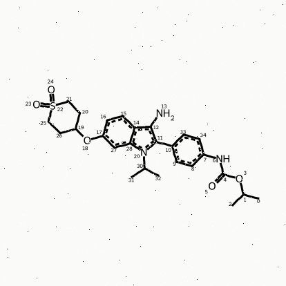 CC(C)OC(=O)Nc1ccc(-c2c(N)c3ccc(OC4CCS(=O)(=O)CC4)cc3n2C(C)C)cc1